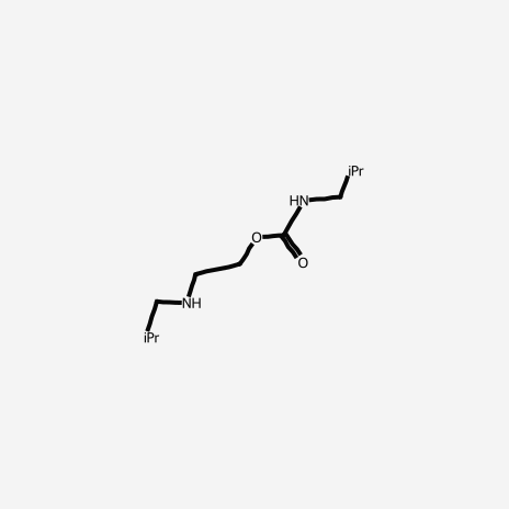 CC(C)CNCCOC(=O)NCC(C)C